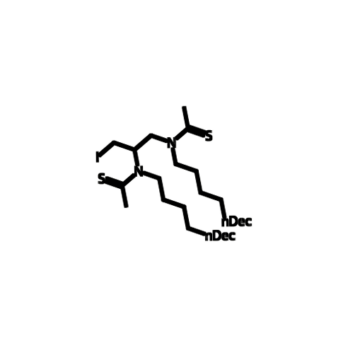 CCCCCCCCCCCCCCN(CC(CI)N(CCCCCCCCCCCCCC)C(C)=S)C(C)=S